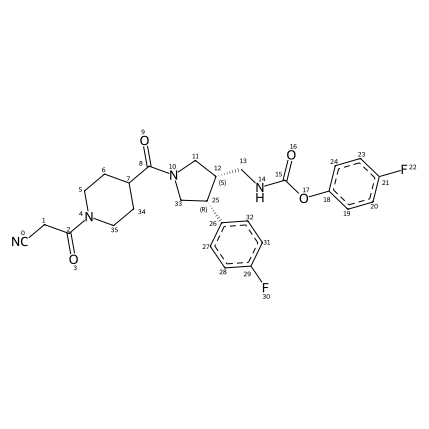 N#CCC(=O)N1CCC(C(=O)N2C[C@H](CNC(=O)Oc3ccc(F)cc3)[C@H](c3ccc(F)cc3)C2)CC1